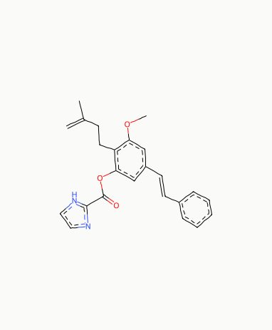 C=C(C)CCc1c(OC)cc(C=Cc2ccccc2)cc1OC(=O)c1ncc[nH]1